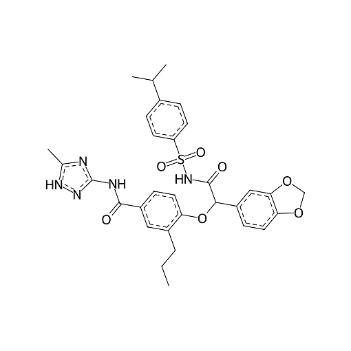 CCCc1cc(C(=O)Nc2n[nH]c(C)n2)ccc1OC(C(=O)NS(=O)(=O)c1ccc(C(C)C)cc1)c1ccc2c(c1)OCO2